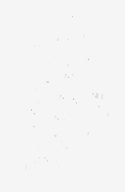 COc1cc(OC)c(F)c(N(Cc2nc3ccccc3[nH]2)c2ccc3ncc(/C(C)=C/N(C)C)nc3n2)c1